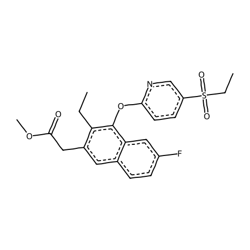 CCc1c(CC(=O)OC)cc2ccc(F)cc2c1Oc1ccc(S(=O)(=O)CC)cn1